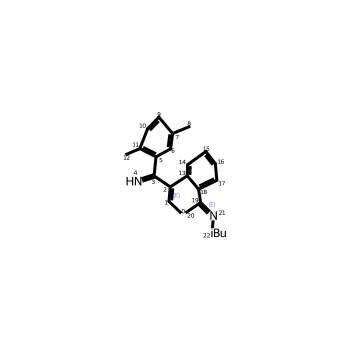 C/C=C(/C(=N)c1cc(C)ccc1C)c1ccccc1/C(C)=N/C(C)CC